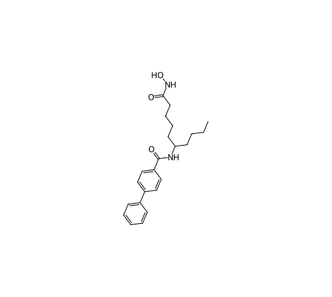 CCCCC(CCCCC(=O)NO)NC(=O)c1ccc(-c2ccccc2)cc1